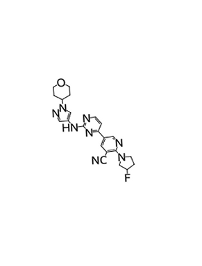 N#Cc1cc(-c2ccnc(Nc3cnn(C4CCOCC4)c3)n2)cnc1N1CCC(F)C1